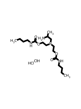 CCCCNC(=O)OCCN(CCOC(=O)NCCCC)CC(C)N.Cl.Cl